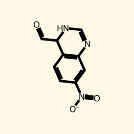 O=CC1NC=Nc2cc([N+](=O)[O-])ccc21